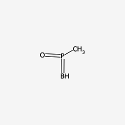 B=P(C)=O